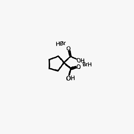 Br.Br.O=C(O)C1(C(=O)O)CCCC1